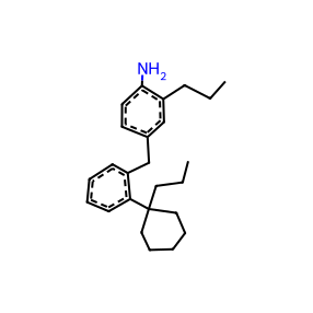 CCCc1cc(Cc2ccccc2C2(CCC)CCCCC2)ccc1N